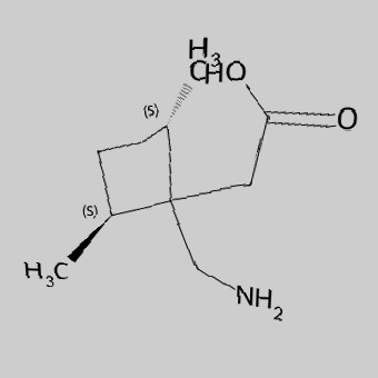 C[C@H]1C[C@H](C)C1(CN)CC(=O)O